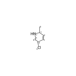 CC1C=CC(Cl)CN1